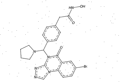 O=C(Cc1ccc(C(N2CCCC2)n2c(=O)c3cc(Br)ccc3n3cnnc23)cc1)NO